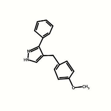 COc1ccc(Cc2c[nH]nc2-c2ccccc2)cc1